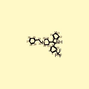 FC(F)(F)c1cccc(-c2[nH]c3ccccc3c2C2CCN(CCc3ccccc3)CC2)c1